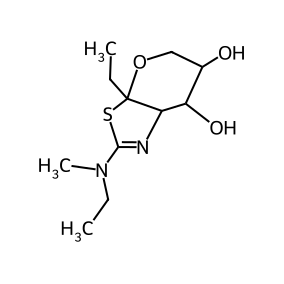 CCN(C)C1=NC2C(O)C(O)COC2(CC)S1